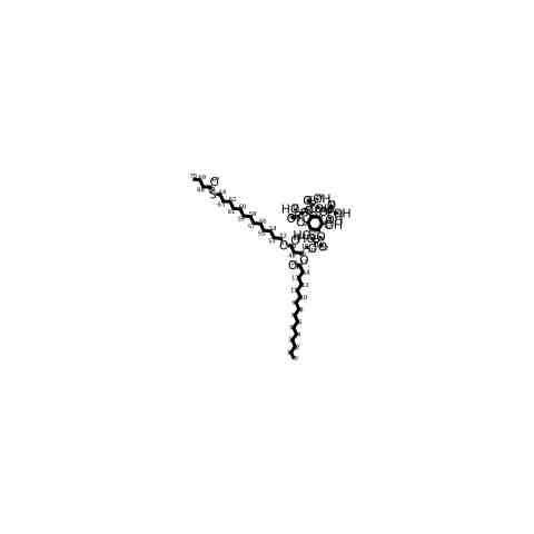 CCCCCCCCCCCCCCCC(=O)O[C@@H](COP(=O)(O)OC1C(O)[C@H](OP(=O)(O)O)C(OP(=O)(O)O)[C@H](OP(=O)(O)O)[C@@H]1O)CC(=O)OCCCCCCCCCCCCCSC(=O)CCC